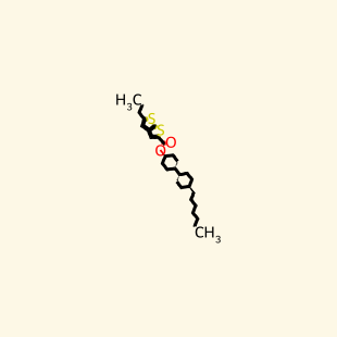 CCCCCCC[C@H]1CC[C@H]([C@H]2CC[C@H](OC(=O)c3cc4cc(CCC)sc4s3)CC2)CC1